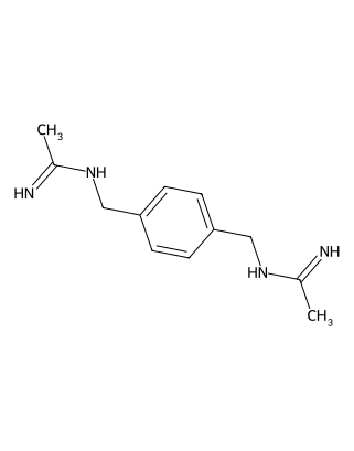 CC(=N)NCc1ccc(CNC(C)=N)cc1